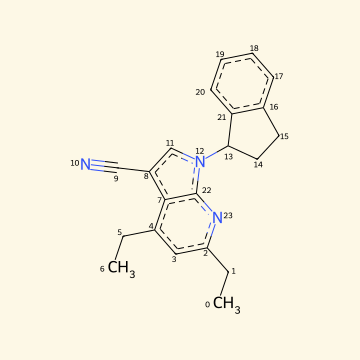 CCc1cc(CC)c2c(C#N)cn(C3CCc4ccccc43)c2n1